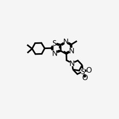 Cc1nc(CN2CC3CC2CS3(=O)=O)c2nc(C3CCC(C)(C)CC3)sc2n1